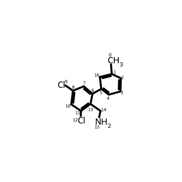 Cc1cccc(-c2cc(Cl)cc(Cl)c2CN)c1